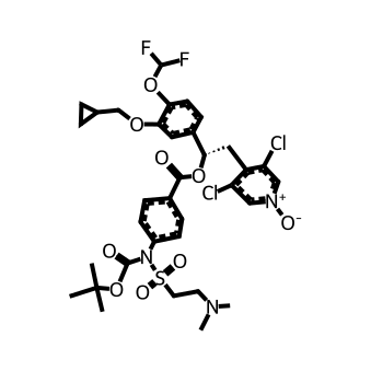 CN(C)CCS(=O)(=O)N(C(=O)OC(C)(C)C)c1ccc(C(=O)O[C@@H](Cc2c(Cl)c[n+]([O-])cc2Cl)c2ccc(OC(F)F)c(OCC3CC3)c2)cc1